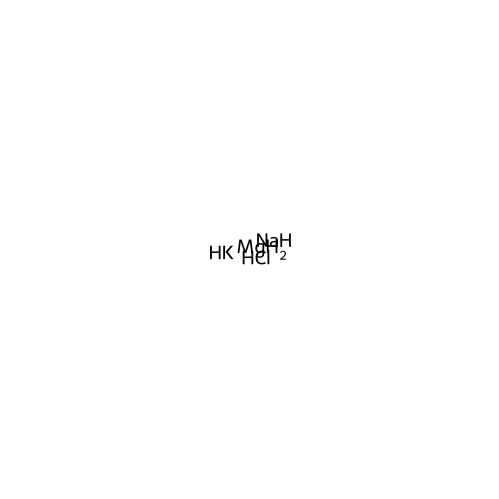 Cl.[KH].[MgH2].[NaH]